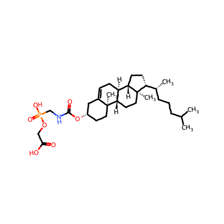 CC(C)CCC[C@@H](C)[C@H]1CC[C@H]2[C@@H]3CC=C4C[C@@H](OC(=O)NCP(=O)(O)OCC(=O)O)CC[C@]4(C)[C@H]3CC[C@]12C